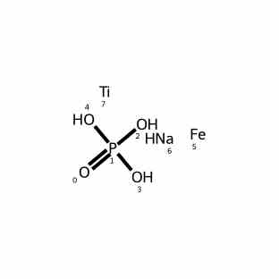 O=P(O)(O)O.[Fe].[NaH].[Ti]